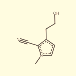 Cn1ccc(CCO)c1C#N